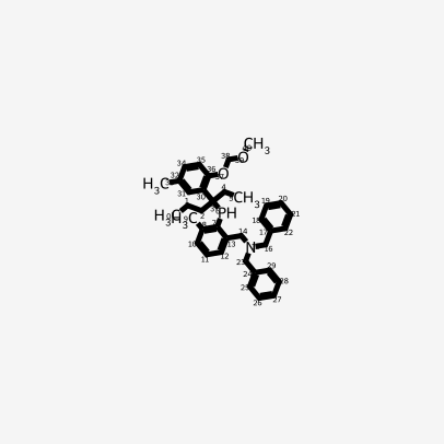 CCCC(CC)(Pc1c(C)cccc1CN(Cc1ccccc1)Cc1ccccc1)c1cc(C)ccc1OCOC